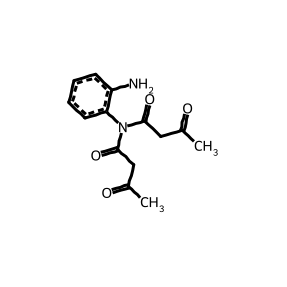 CC(=O)CC(=O)N(C(=O)CC(C)=O)c1ccccc1N